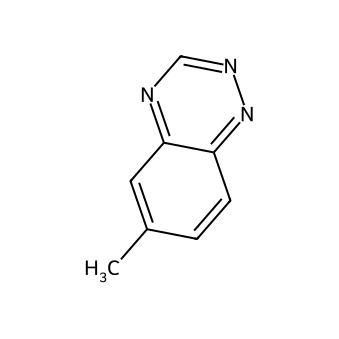 Cc1ccc2nncnc2c1